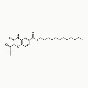 CCCCCCCCCCCCOC(=O)c1ccc2c(c1)NC(=O)C(C(=O)C(C)(C)C)S2